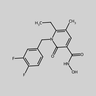 CCc1c(C)cc(C(=O)NO)c(=O)n1Cc1ccc(F)c(F)c1